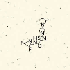 C[C@@H]1CCCCN(C2CCN(c3ncc(C(=O)NCc4ncc(F)cc4F)s3)CC2)C1